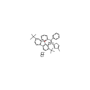 CC1=CC[C]([Zr+2](=[C](c2ccccc2)c2ccccc2)[c]2c(C(C)(C)C)ccc3c2Cc2cc(C(C)(C)C)ccc2-3)=C1.[Cl-].[Cl-]